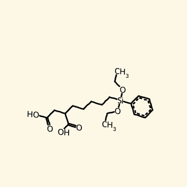 CCO[Si](CCCCCC(CC(=O)O)C(=O)O)(OCC)c1ccccc1